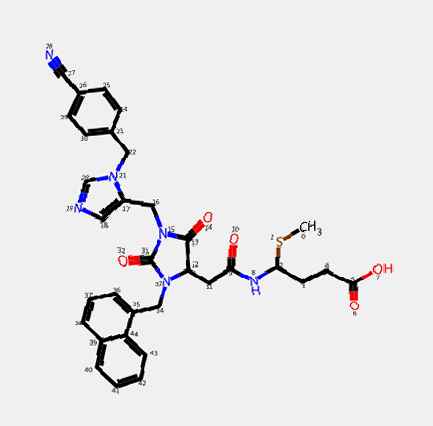 CSC(CCC(=O)O)NC(=O)CC1C(=O)N(Cc2cncn2Cc2ccc(C#N)cc2)C(=O)N1Cc1cccc2ccccc12